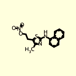 Cc1nc(Nc2cccc3ccccc23)sc1CCO[N+](=O)[O-]